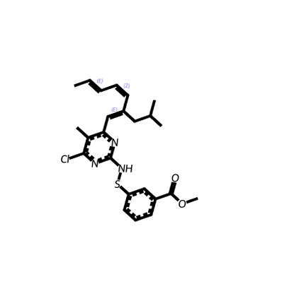 C/C=C/C=C\C(=C\c1nc(NSc2cccc(C(=O)OC)c2)nc(Cl)c1C)CC(C)C